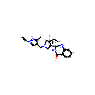 C=Cn1cc(CN2C[C@H]3CC[C@]4(NC(=O)c5ccccc5N4)[C@H]3C2)c(C)n1